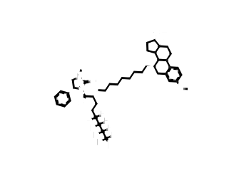 COc1ccc2c(c1)C[C@@H](CCCCCCCCC[C@H](CCC(F)(F)C(F)(F)C(F)(F)C(F)(F)F)C(=O)N1C(=O)N(C)[C@@H](C)[C@H]1c1ccccc1)C1C2CC[C@@]2(C)C1CC[C@@H]2O